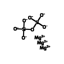 [Mg+2].[Mg+2].[Mg+2].[O-][Si]([O-])([O-])O[Si]([O-])([O-])[O-]